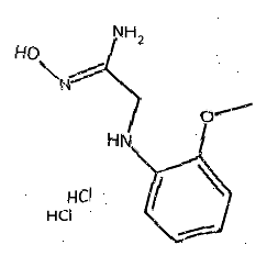 COc1ccccc1NCC(N)=NO.Cl.Cl